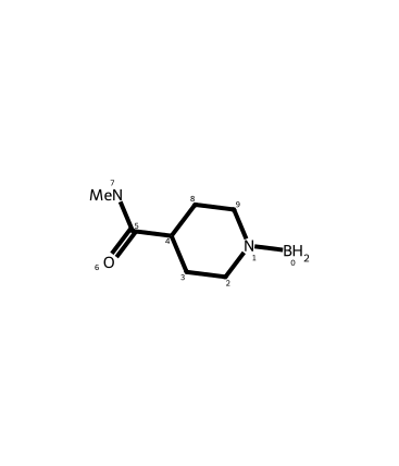 BN1CCC(C(=O)NC)CC1